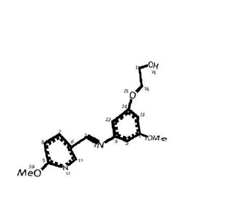 COc1cc(N=Cc2ccc(OC)nc2)cc(OCCO)c1